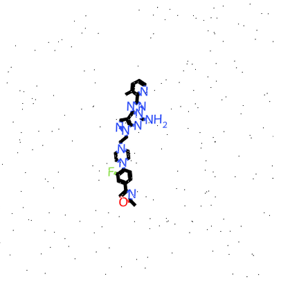 Cc1nc(-c2ccc(N3CCN(CCn4ncc5c4nc(N)n4nc(-c6ncccc6C)nc54)CC3)c(F)c2)co1